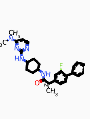 C[C@H](C(=O)NC1CCC(Nc2nccc(N(C)C)n2)CC1)c1ccc(-c2ccccc2)c(F)c1